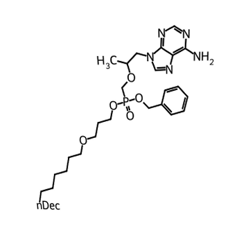 CCCCCCCCCCCCCCCCOCCCOP(=O)(COC(C)Cn1cnc2c(N)ncnc21)OCc1ccccc1